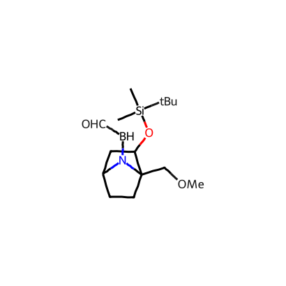 COCC12CCC(CC1O[Si](C)(C)C(C)(C)C)N2BC=O